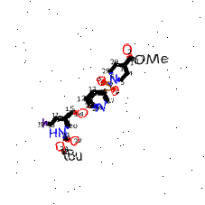 COC(=O)C1CCN(S(=O)(=O)c2ccc(OC/C(=C/CI)CNC(=O)OC(C)(C)C)nc2)CC1